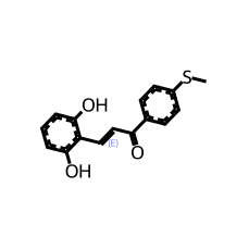 CSc1ccc(C(=O)/C=C/c2c(O)cccc2O)cc1